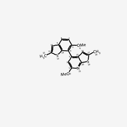 COc1cc(-c2c(OC)ccc3cc(C)sc23)c2cc(C)sc2n1